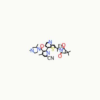 CCC(C)(c1cc2nccc(-c3nc(C#N)cc(C)c3C(=O)N3CCN(C)CC3C)c2s1)N1C(=O)C2C(C1=O)C2(C)C